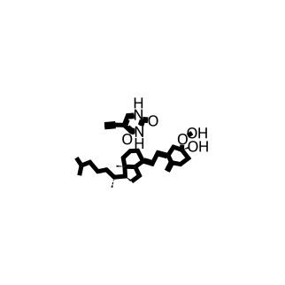 C#Cc1c[nH]c(=O)[nH]c1=O.C=C1CC[C@](O)(OO)C/C1=C/C=C1CCC[C@@]2(C)C1CC[C@@H]2[C@H](C)CCCC(C)C